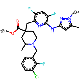 Cc1cc(Nc2nc(CC3(C(=O)OC(C)(C)C)CCN(Cc4cccc(Cl)c4F)C(C)C3)c(F)cc2F)nn1C(C)(C)C